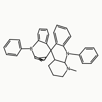 CN1CCCC2C1N(c1ccccc1)c1ccccc1C21c2ccccc2B(c2ccccc2)c2ccccc21